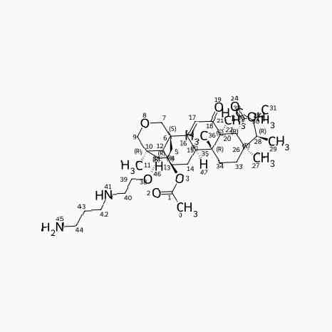 CC(=O)O[C@@H]1C[C@]23COC[C@@](C)([C@@H]2CC[C@H]2C3=CC(=O)[C@@]3(C)[C@H](C(=O)O)[C@@](C)([C@H](C)C(C)C)CC[C@]23C)[C@H]1OCCNCCCN